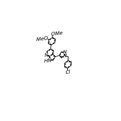 COc1ccc(-c2cnc3[nH]cc(-c4cnn(Cc5ccc(Cl)cc5)c4)c3c2)cc1OC